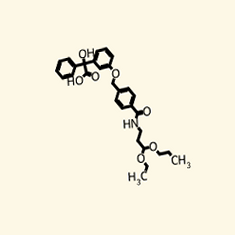 CCCOC(CCNC(=O)c1ccc(COc2cccc(C(O)(C(=O)O)c3ccccc3)c2)cc1)OCC